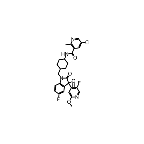 COc1cc(C2(O)C(=O)N(CC3CCC(NC(=O)c4cc(Cl)cnc4C)CC3)c3ccc(F)cc32)c(F)cn1